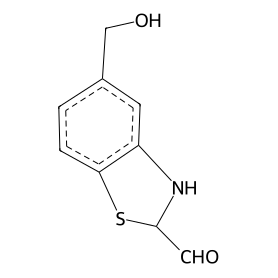 O=CC1Nc2cc(CO)ccc2S1